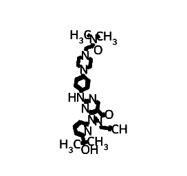 C#CCn1c(=O)c2cnc(Nc3ccc(N4CCN(CC(=O)N(C)C)CC4)cc3)nc2n1-c1cccc(C(C)(C)O)n1